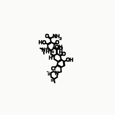 C[C@H]1C[C@H](C)CN(Cc2cc(O)c3c(c2Cl)C[C@H]2C[C@H]4[C@H](N(C)C)C(O)=C(C(N)=O)C(=O)[C@@]4(O)C(O)=C2C3=O)C1